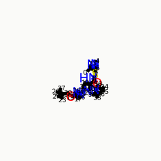 Cc1nn(C)cc1SNC(=O)c1ccc(-n2ccc(OCC3C(C)(C)C3(C)C)n2)nc1N1CC(C)(C)CC1(C)C